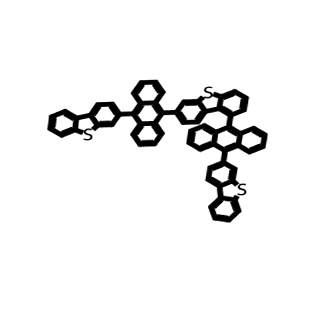 c1ccc2c(c1)sc1cc(-c3c4ccccc4c(-c4ccc5c(c4)sc4cccc(-c6c7ccccc7c(-c7ccc8c(c7)sc7ccccc78)c7ccccc67)c45)c4ccccc34)ccc12